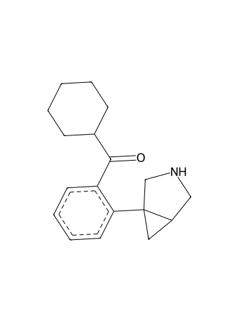 O=C(c1ccccc1C12CNCC1C2)C1CCCCC1